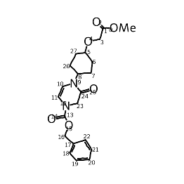 COC(=O)COC1CCC(N2C=CN(C(=O)OCc3ccccc3)CC2=O)CC1